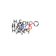 CC(=S)C(=CC(=O)Oc1ccccc1)N([Si](C)(C)C)[Si](C)(C)C